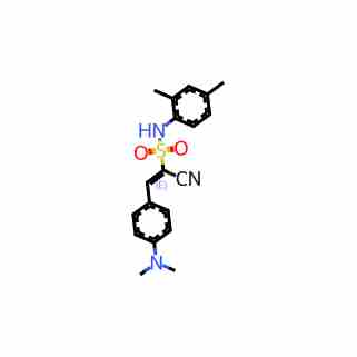 Cc1ccc(NS(=O)(=O)/C(C#N)=C/c2ccc(N(C)C)cc2)c(C)c1